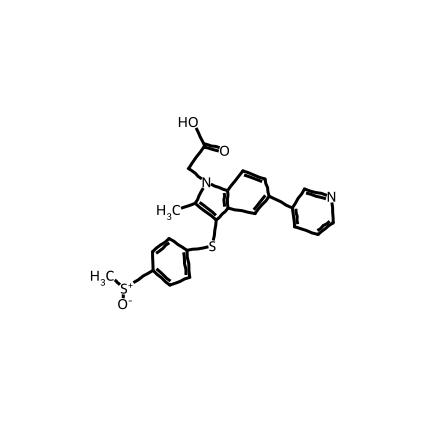 Cc1c(Sc2ccc([S+](C)[O-])cc2)c2cc(-c3cccnc3)ccc2n1CC(=O)O